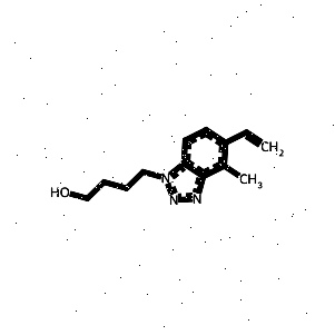 C=Cc1ccc2c(nnn2CCCCO)c1C